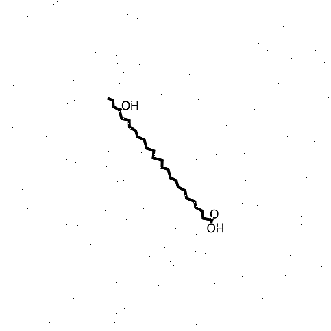 CCCC(O)CCCCCCCCCCCCCCCCCCCCCC(=O)O